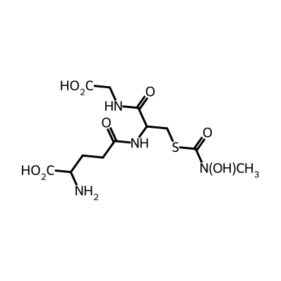 CN(O)C(=O)SCC(NC(=O)CCC(N)C(=O)O)C(=O)NCC(=O)O